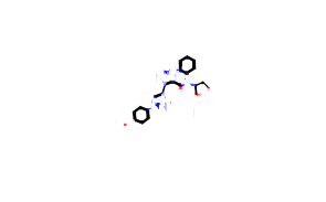 COc1ccc(-n2cc(-c3ncn4c3c(=O)n(C3CCOC3C)c3ccccc34)nn2)cc1